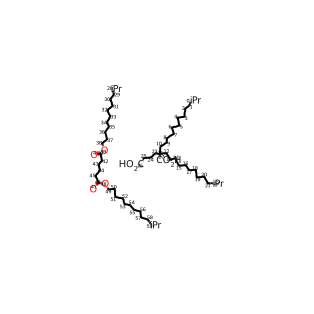 CC(C)CCCCCCCCCCC(CCCCCCCCCCC(C)C)(CCCC(=O)O)C(=O)O.CC(C)CCCCCCCCCCOC(=O)CCCCC(=O)OCCCCCCCCCCC(C)C